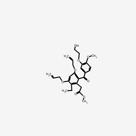 C=CCOc1cc(OCC=C)c(C(=O)c2ccc(OC)c(OCCO)c2)c(CC(=O)OC)c1CC